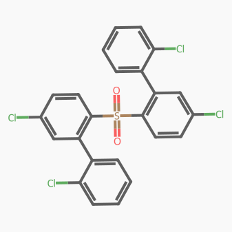 O=S(=O)(c1ccc(Cl)cc1-c1ccccc1Cl)c1ccc(Cl)cc1-c1ccccc1Cl